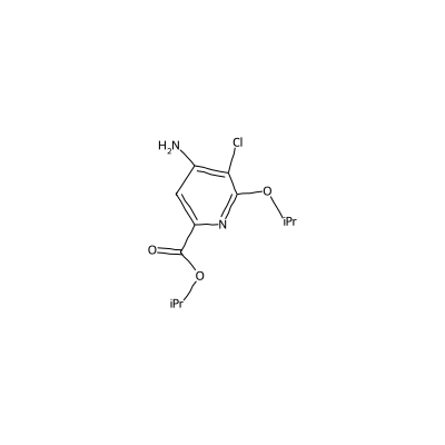 CC(C)OC(=O)c1cc(N)c(Cl)c(OC(C)C)n1